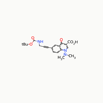 CN(C)n1cc(C(=O)O)c(=O)c2cc(C#CCNC(=O)OC(C)(C)C)ccc21